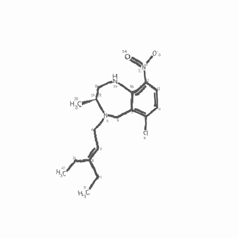 CCC(=CCN1Cc2c(Cl)ccc([N+](=O)[O-])c2NC[C@@H]1C)CC